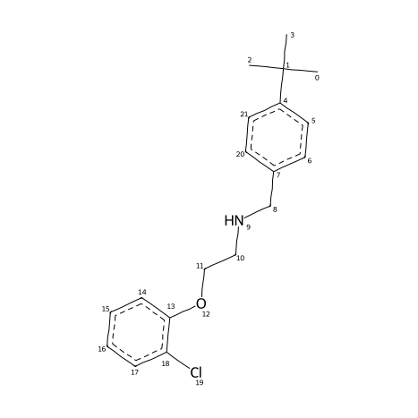 CC(C)(C)c1ccc(CNCCOc2ccccc2Cl)cc1